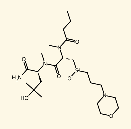 CCCC(=O)N(C)[C@H](C[S+]([O-])CCCN1CCOCC1)C(=O)N(C)[C@@H](CC(C)(C)O)C(N)=O